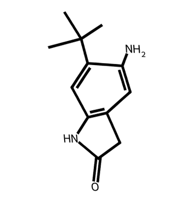 CC(C)(C)c1cc2c(cc1N)CC(=O)N2